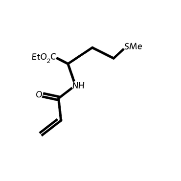 C=CC(=O)NC(CCSC)C(=O)OCC